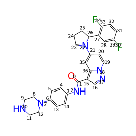 O=C(Nc1ccc(N2CCNCC2)cc1)c1cnn2ccc(N3CCCC3c3cc(F)ccc3F)cc12